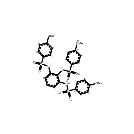 COc1ccc(S(=O)(=O)Oc2cccc(OS(=O)(=O)c3ccc(OC)cc3)c2OS(=O)(=O)c2ccc(OC)cc2)cc1